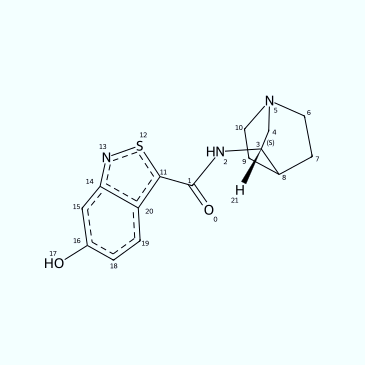 O=C(N[C@@H]1CN2CCC1CC2)c1snc2cc(O)ccc12